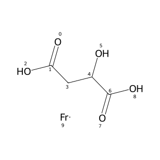 O=C(O)CC(O)C(=O)O.[Fr]